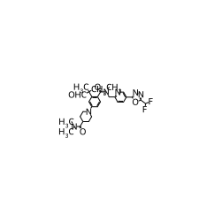 CN(C)C(=O)C1CCN(c2ccc(C(=O)N(C)Cc3ccc(-c4nnc(C(F)F)o4)cn3)c(C(C)(C)C=O)c2)CC1